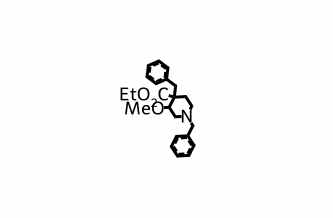 CCOC(=O)C1(Cc2ccccc2)CCN(Cc2ccccc2)CC1OC